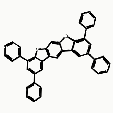 c1ccc(-c2cc(-c3ccccc3)c3oc4cc5oc6c(-c7ccccc7)cc(-c7ccccc7)cc6c5cc4c3c2)cc1